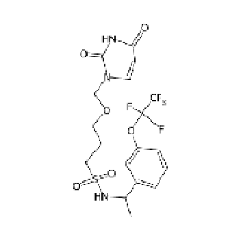 CC(NS(=O)(=O)CCCOCn1ccc(=O)[nH]c1=O)c1cccc(OC(F)(F)C(F)(F)F)c1